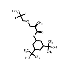 C=C(COCC(F)(F)S(=O)(=O)O)C(=O)OC1CC(C(C)(O)C(F)(F)F)CC(C(O)(C(F)(F)F)C(F)(F)F)C1